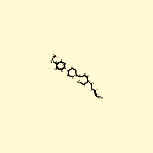 CCCCOc1ccc([C@H]2CC[C@H]([C@H]3CC[C@H](CCC=CF)CC3)CC2)cc1